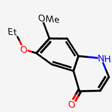 CCOc1cc2c(=O)cc[nH]c2cc1OC